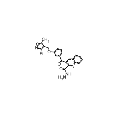 CCc1noc(C)c1COc1cccc(C(=O)c2cc3ccccc3nc2C(=O)NN)c1